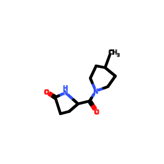 CC1CCN(C(=O)C2CCC(=O)N2)CC1